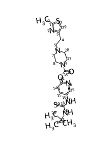 Cc1nc(CCN2CCN(C(=O)Oc3ccc(NC(=S)NC(C)(C)C)cn3)CC2)cs1